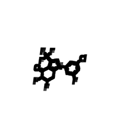 O=C1c2c(C(F)(F)F)cn(-c3cc(F)cc(Cl)c3)c2CC(F)C1F